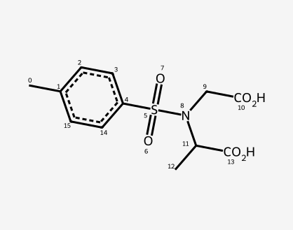 Cc1ccc(S(=O)(=O)N(CC(=O)O)C(C)C(=O)O)cc1